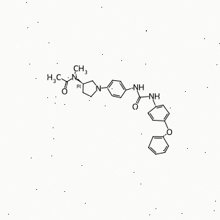 CC(=O)N(C)[C@@H]1CCN(c2ccc(NC(=O)Nc3ccc(Oc4ccccc4)cc3)cc2)C1